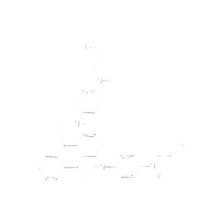 CCN(CCO)c1ccc(NC2=CC=C(Nc3ccc(N(CC)CCO)cc3)C3C(=O)c4ccccc4C(=O)C23)cc1